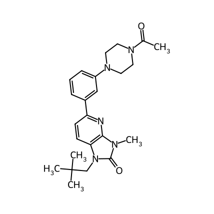 CC(=O)N1CCN(c2cccc(-c3ccc4c(n3)n(C)c(=O)n4CC(C)(C)C)c2)CC1